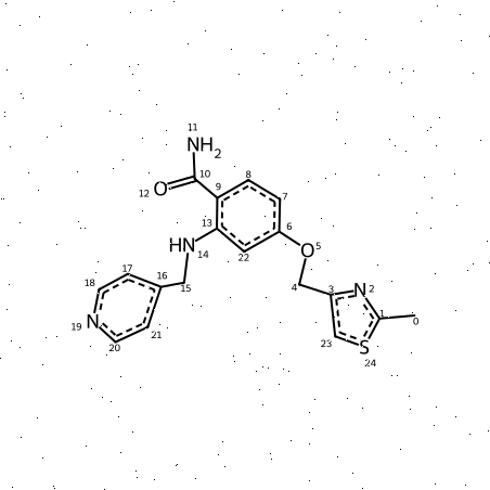 Cc1nc(COc2ccc(C(N)=O)c(NCc3ccncc3)c2)cs1